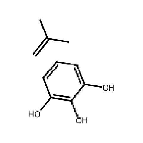 C=C(C)C.Oc1cccc(O)c1O